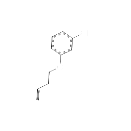 [CH]=CCCOc1cccc(C(F)(F)F)c1